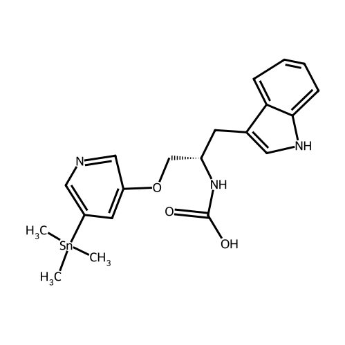 [CH3][Sn]([CH3])([CH3])[c]1cncc(OC[C@H](Cc2c[nH]c3ccccc23)NC(=O)O)c1